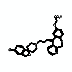 O=C(O)COc1ccc2c(c1)/C(=C/CCN1CCC3(CC1)OCc1cc(Cl)ccc13)c1cccnc1CO2